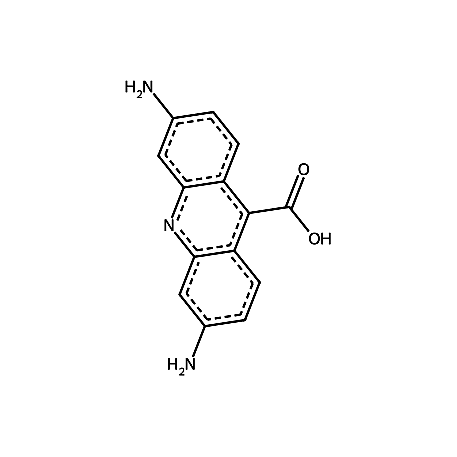 Nc1ccc2c(C(=O)O)c3ccc(N)cc3nc2c1